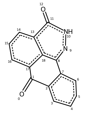 O=C1c2ccccc2-c2n[nH]c(=O)c3cccc1c23